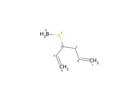 BSC(C=C)CC=C